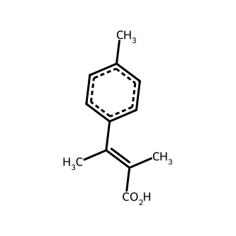 CC(C(=O)O)=C(C)c1ccc(C)cc1